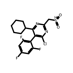 O=[SH](=O)Cc1nc(Cl)c(-c2c(F)cc(F)cc2F)c(C2CCCCC2)n1